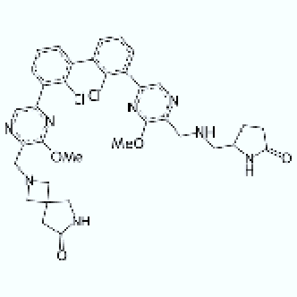 COc1nc(-c2cccc(-c3cccc(-c4cnc(CN5CC6(CNC(=O)C6)C5)c(OC)n4)c3Cl)c2Cl)cnc1CNCC1CCC(=O)N1